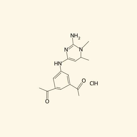 CC(=O)c1cc(NC2=CC(C)N(C)C(N)=N2)cc(C(C)=O)c1.Cl